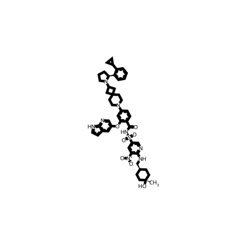 C[C@]1(O)CC[C@@H](CNc2ncc(S(=O)(=O)NC(=O)c3ccc(N4CCC5(CC4)CC(N4CCC[C@H]4c4ccccc4C4CC4)C5)cc3Oc3cnc4[nH]ccc4c3)cc2[N+](=O)[O-])CC1